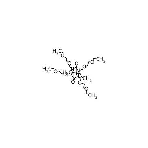 CCCC12N(COCCOCC)C(=O)N(COCCOCC)C1(C)N(COCCOCC)C(=O)N2COCCOCC